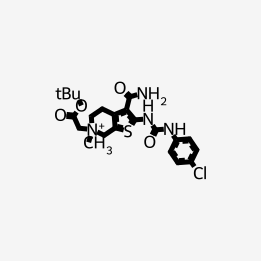 CC(C)(C)OC(=O)C[N+]1(C)CCc2c(sc(NC(=O)Nc3ccc(Cl)cc3)c2C(N)=O)C1